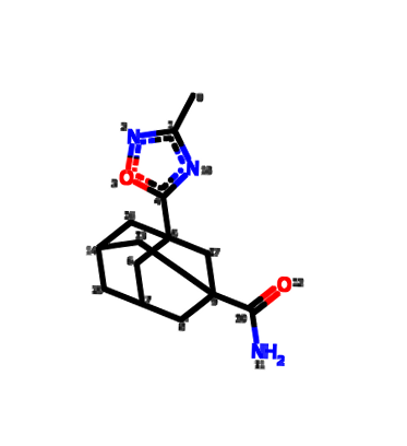 Cc1noc(C23CC4[CH]C(C(N)=O)(CC(C4)C2)C3)n1